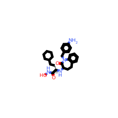 Nc1ccc(CN2C(=O)C(N[C@@H](CCC3CCCCC3)C(=O)NO)CCc3ccccc32)cc1